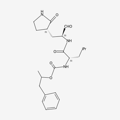 CC(C)C[C@H](NC(=O)OC(C)Cc1ccccc1)C(=O)N[C@H](C=O)C[C@@H]1CCNC1=O